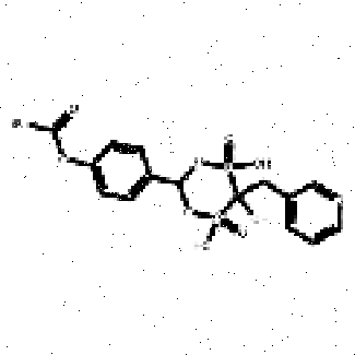 CC(C)(C)C(=O)Oc1ccc(C2OP(=O)(O)C(O)(Cc3cccnc3)P(=O)(O)O2)cc1